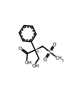 CS(=O)(=O)C[C@@](CO)(C(=O)O)c1ccccc1